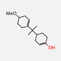 COC1CC=C(C(C)(C)C2CC=C(O)CC2)CC1